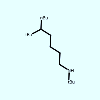 CCCCC(CCCCNC(C)(C)C)C(C)(C)C